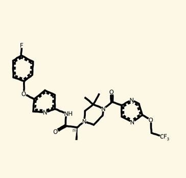 C[C@@H](C(=O)Nc1ccc(Oc2ccc(F)cc2)cn1)N1CCN(C(=O)c2cnc(OCC(F)(F)F)cn2)C(C)(C)C1